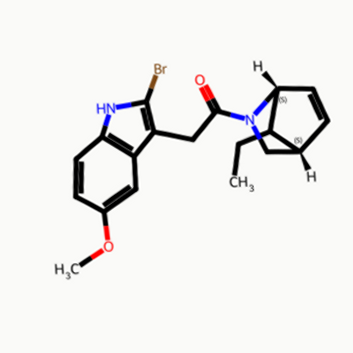 CCC1[C@@H]2C=C[C@H]1N(C(=O)Cc1c(Br)[nH]c3ccc(OC)cc13)C2